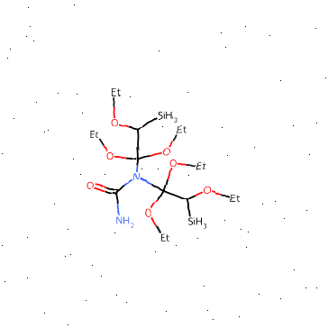 CCOC([SiH3])C(OCC)(OCC)N(C(N)=O)C(OCC)(OCC)C([SiH3])OCC